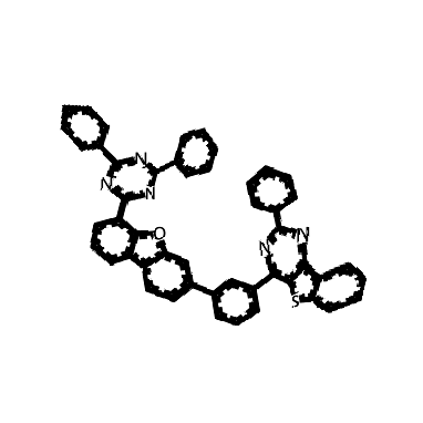 c1ccc(-c2nc(-c3ccccc3)nc(-c3cccc4c3oc3cc(-c5cccc(-c6nc(-c7ccccc7)nc7c6sc6ccccc67)c5)ccc34)n2)cc1